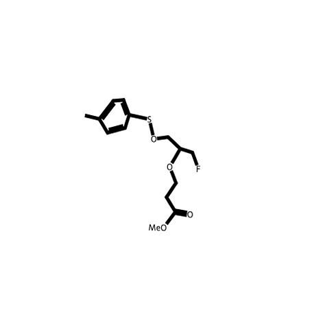 COC(=O)CCOC(CF)COSc1ccc(C)cc1